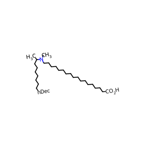 CCCCCCCCCCCCCCCCCC(C)N(C)CCCCCCCCCCCCCCCCCC(=O)O